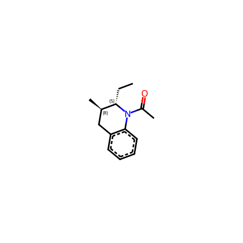 CC[C@H]1[C@H](C)Cc2ccccc2N1C(C)=O